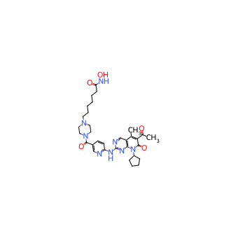 CC(=O)c1c(C)c2cnc(Nc3ccc(C(=O)N4CCN(CCCCCCC(=O)NO)CC4)cn3)nc2n(C2CCCC2)c1=O